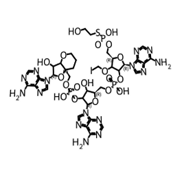 Nc1ncnc2c1ncn2[C@@H]1O[C@@]2(COP(=O)(O)OC3C(O)[C@@H](COP(=O)(O)OC4C(OCI)[C@@H](COP(=O)(O)SCCO)O[C@H]4n4cnc5c(N)ncnc54)O[C@H]3n3cnc4c(N)ncnc43)CCCOC2C1O